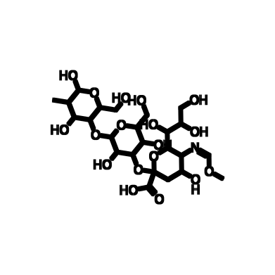 CO/C=N\C1C(O)CC(OC2C(O)C(CO)OC(OC3C(CO)OC(O)C(C)C3O)C2O)(C(=O)O)OC1C(O)C(O)CO